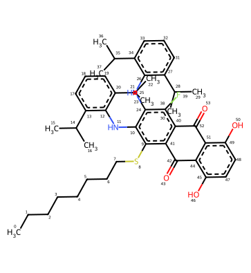 CCCCCCCCSc1c(Nc2c(C(C)C)cccc2C(C)C)c(Nc2c(C(C)C)cccc2C(C)C)c(F)c2c1C(=O)c1c(O)ccc(O)c1C2=O